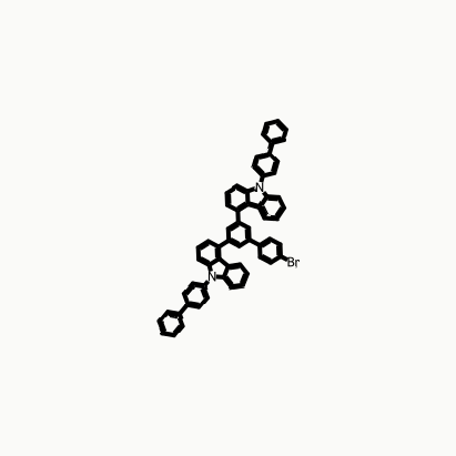 Brc1ccc(-c2cc(-c3cccc4c3c3ccccc3n4-c3ccc(-c4ccccc4)cc3)cc(-c3cccc4c3c3ccccc3n4-c3ccc(-c4ccccc4)cc3)c2)cc1